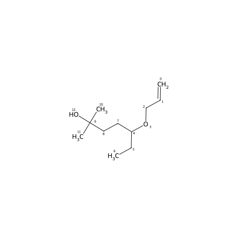 C=CCOC(CC)CCC(C)(C)O